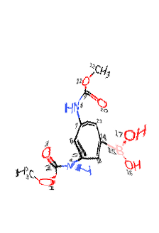 COC(=O)Nc1cc(NC(=O)OC)cc(B(O)O)c1